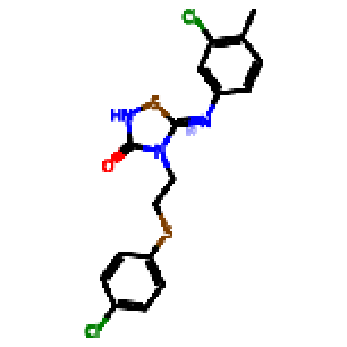 Cc1ccc(/N=c2\s[nH]c(=O)n2CCSc2ccc(Cl)cc2)cc1Cl